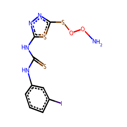 NOOSc1nnc(NC(=S)Nc2cccc(I)c2)s1